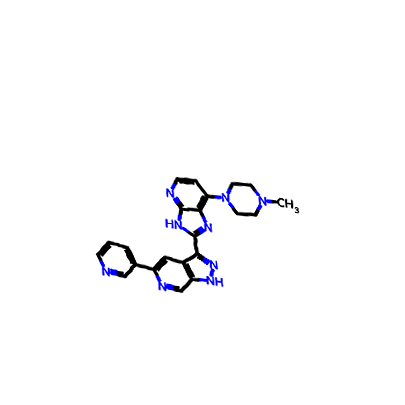 CN1CCN(c2ccnc3[nH]c(-c4n[nH]c5cnc(-c6cccnc6)cc45)nc23)CC1